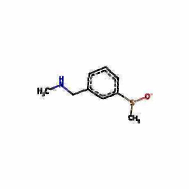 CNCc1cccc([S+](C)[O-])c1